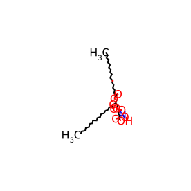 CCCCCCCCCCCCCCCCCC(=O)OCC(COC(=O)CC(N=O)C(=O)O)OC(=O)CCCCCCCCCCCCCCCCC